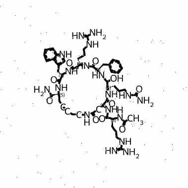 CC(=O)N[C@@H](CCCNC(=N)N)C(=O)N[C@H]1CC(=O)NCCCCC[C@@H](C(N)=O)NC(=O)[C@H](Cc2c[nH]c3ccccc23)NC(=O)[C@H](CCCNC(=N)N)NC(=O)[C@@H](Cc2ccccc2)NC(O)[C@H](CCCNC(N)=O)NC1=O